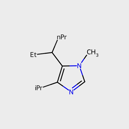 CCCC(CC)c1c(C(C)C)ncn1C